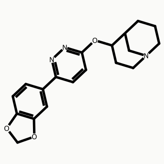 c1cc2c(cc1-c1ccc(OC3CCN4CCCC3C4)nn1)OCO2